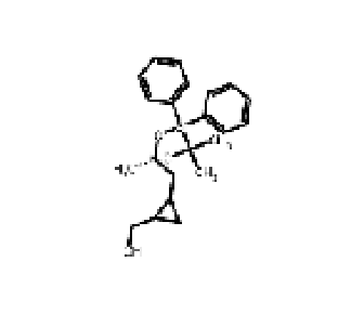 C[C@@H](CC1CC1CO)O[Si](c1ccccc1)(c1ccccc1)C(C)(C)C